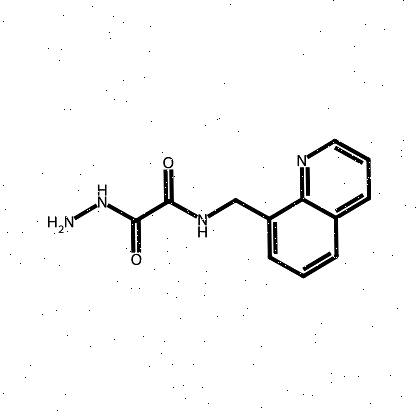 NNC(=O)C(=O)NCc1cccc2cccnc12